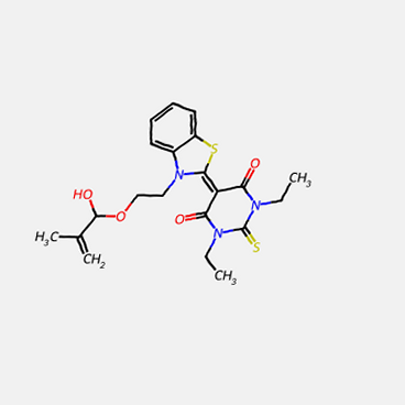 C=C(C)C(O)OCCN1C(=C2C(=O)N(CC)C(=S)N(CC)C2=O)Sc2ccccc21